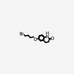 O=C1CCc2cc(OCCCCBr)ccc2N1